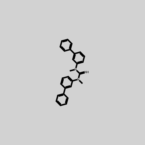 CN(C(=N)N(C)c1cccc(-c2ccccc2)c1)c1cccc(-c2ccccc2)c1